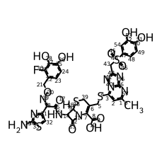 Cc1cc(SCC2=C(C(=O)O)N3C(=O)[C@@H](NC(=O)/C(=N\OCc4ccc(O)c(O)c4F)c4csc(N)n4)[C@H]3SC2)n2nc(CS(=O)(=O)c3ccc(O)c(O)c3)nc2n1